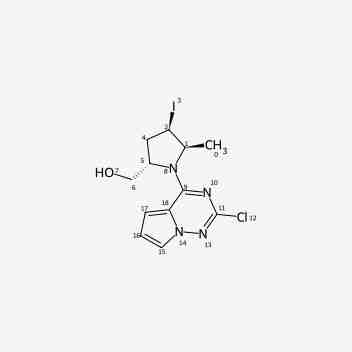 C[C@@H]1[C@H](I)C[C@@H](CO)N1c1nc(Cl)nn2cccc12